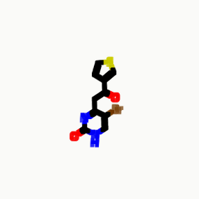 O=C(Cc1nc(=O)[nH]cc1Br)c1ccsc1